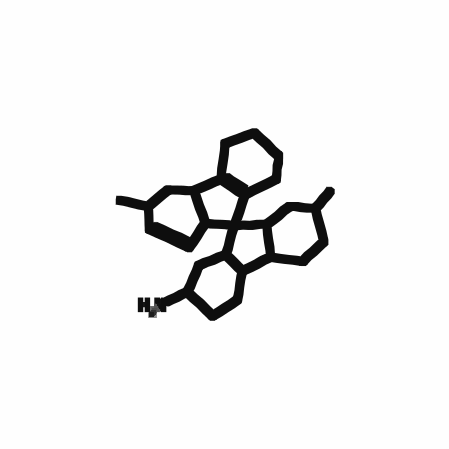 CC1C=CC2C(C1)C1=C(CCCC1)C21C2CC(C)CCC2C2CCC(N)CC21